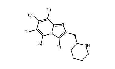 [2H]c1c(C(F)(F)F)c([2H])c2nc(C[C@@H]3CCCCN3)c([2H])n2c1[2H]